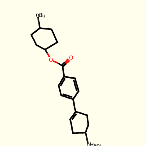 CCCCCCCC1CC=C(c2ccc(C(=O)OC3CCC(CCCC)CC3)cc2)CC1